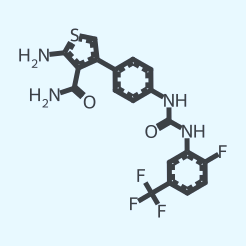 NC(=O)c1c(-c2ccc(NC(=O)Nc3cc(C(F)(F)F)ccc3F)cc2)csc1N